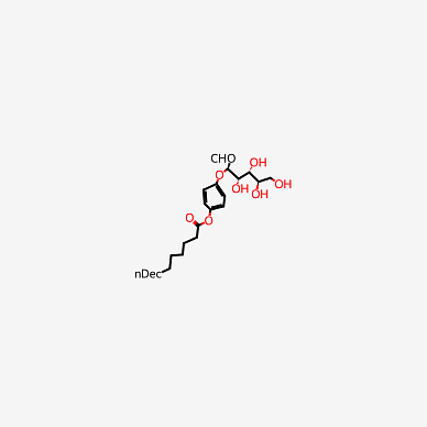 CCCCCCCCCCCCCCCC(=O)Oc1ccc(O[C@@H](C=O)[C@@H](O)[C@H](O)[C@H](O)CO)cc1